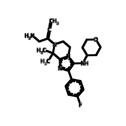 C=C=C(CN)N1CCn2c(nc(-c3ccc(F)cc3)c2NC2CCOCC2)C1(C)C